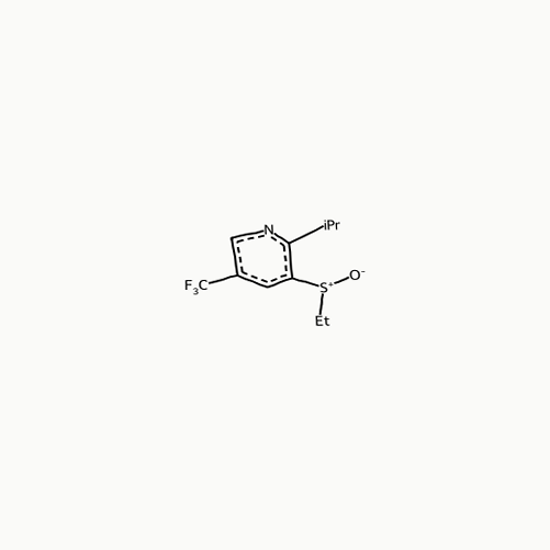 CC[S+]([O-])c1cc(C(F)(F)F)cnc1C(C)C